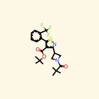 CC(C)(C)OC(=O)c1c(C2CN(C(=O)C(C)(C)C)C2)nsc1-c1ccccc1C(F)(F)F